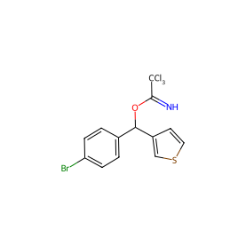 N=C(OC(c1ccc(Br)cc1)c1ccsc1)C(Cl)(Cl)Cl